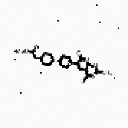 COC(=O)C[C@H]1CC[C@H](c2ccc(-c3cc4c(Cl)nc(C)nc4oc3=O)cc2)CC1